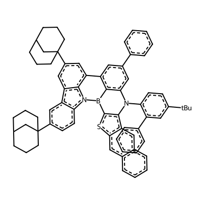 CC(C)(C)c1ccc(N2c3cc(-c4ccccc4)cc4c3B(c3sc5cc6ccccc6cc5c32)n2c3ccc(C56CCCC(CCC5)C6)cc3c3cc(C56CCCC(CCC5)C6)cc-4c32)c(-c2ccccc2)c1